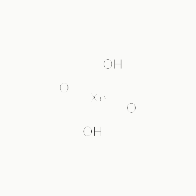 O=[Xe](=O)(O)O